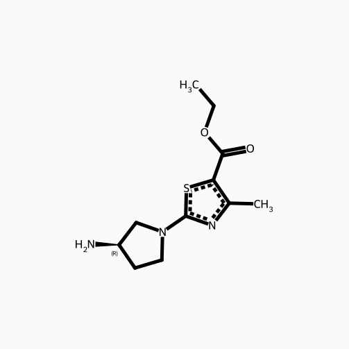 CCOC(=O)c1sc(N2CC[C@@H](N)C2)nc1C